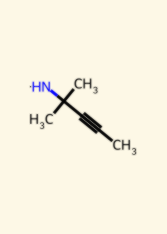 CC#CC(C)(C)[NH]